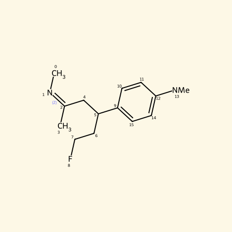 C/N=C(/C)CC(CCF)c1ccc(NC)cc1